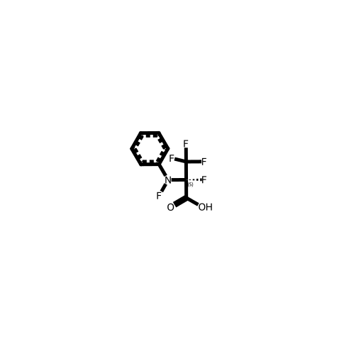 O=C(O)[C@@](F)(N(F)c1ccccc1)C(F)(F)F